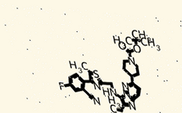 CCc1nc2ccc(C3CCN(C(=O)OC(C)(C)C)CC3)nn2c1NCc1nc(-c2ccc(F)cc2C#N)c(C)s1